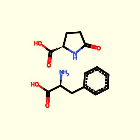 N[C@@H](Cc1ccccc1)C(=O)O.O=C1CC[C@@H](C(=O)O)N1